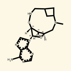 CO[C@H]1[C@H]2ONCC3CC(C3)N(C)C[C@H]1O[C@H]2n1cnc2c(N)ncnc21